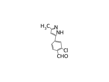 Cc1cc(-c2ccc(C=O)c(Cl)c2)[nH]n1